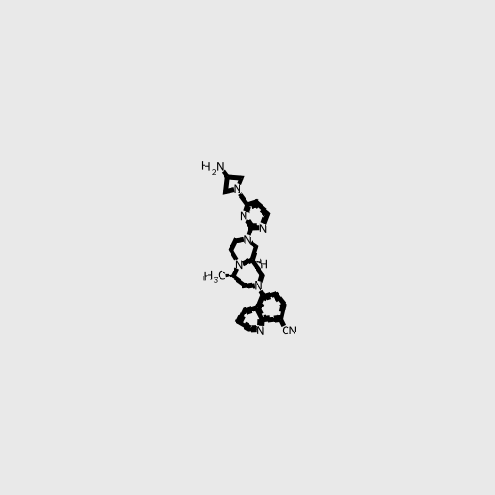 C[C@@H]1CN(c2ccc(C#N)c3ncccc23)C[C@@H]2CN(c3nccc(N4CC(N)C4)n3)CCN21